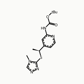 C[C@H](Sc1nncn1C)c1ccnc(NC(=O)OC(C)(C)C)c1